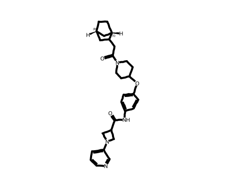 O=C(Nc1ccc(OC2CCN(C(=O)CC3C[C@@H]4CC[C@H]3C4)CC2)cc1)C1CN(c2cccnc2)C1